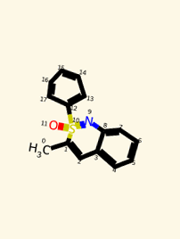 CC1=Cc2ccccc2N=S1(=O)c1ccccc1